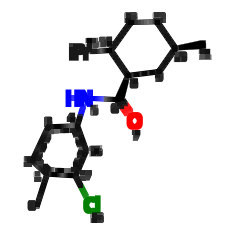 Cc1ccc(NC(=O)[C@@H]2C[C@H](C)CCC2C(C)C)cc1Cl